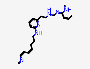 C=N/C=C\C=C/CCCNc1cccc(CCNC/N=C(\C=C/C)NC)n1